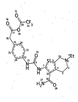 CCN1CCc2c(sc(NC(=O)Nc3ccc(CC(=O)OC(=O)C(F)(F)F)cc3)c2C(N)=O)C1